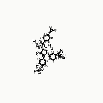 CC(C)(N[C@H]1C[C@@H](c2cccc(C#N)c2)N(c2ccc(OC(F)(F)F)cc2)C1=O)c1ccc(C2CC2)nc1.Cl.Cl